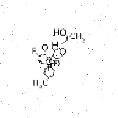 Cc1ccc(S(=O)(=O)[C@@]23CCO[C@@H](CC[C@H](C)O)[C@@H]2COc2c(F)ccc(F)c23)cc1